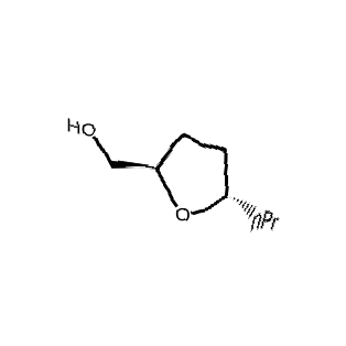 CCC[C@H]1CC[C@H](CO)O1